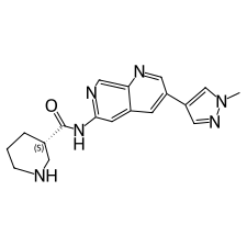 Cn1cc(-c2cnc3cnc(NC(=O)[C@H]4CCCNC4)cc3c2)cn1